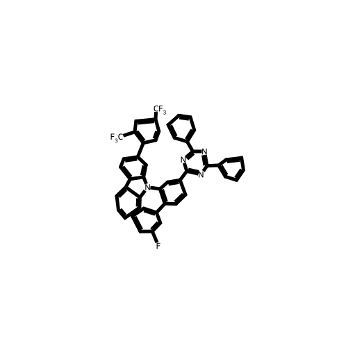 Fc1cccc(-c2ccc(-c3nc(-c4ccccc4)nc(-c4ccccc4)n3)cc2-n2c3ccccc3c3ccc(-c4ccc(C(F)(F)F)cc4C(F)(F)F)cc32)c1